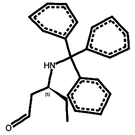 CC[C@@H](CC=O)NC(c1ccccc1)(c1ccccc1)c1ccccc1